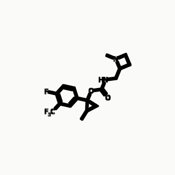 CC1CC1(OC(=O)NCC1CCN1C)c1ccc(F)c(C(F)(F)F)c1